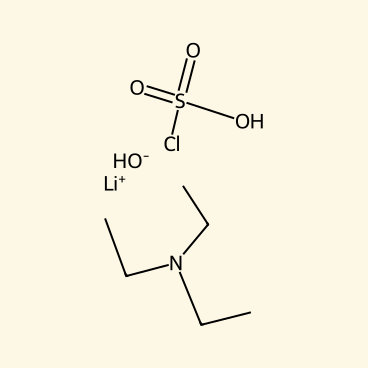 CCN(CC)CC.O=S(=O)(O)Cl.[Li+].[OH-]